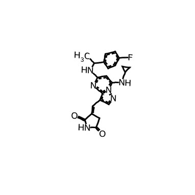 CC(Nc1cc(NC2CC2)n2ncc(C=C3CC(=O)NC3=O)c2n1)c1ccc(F)cc1